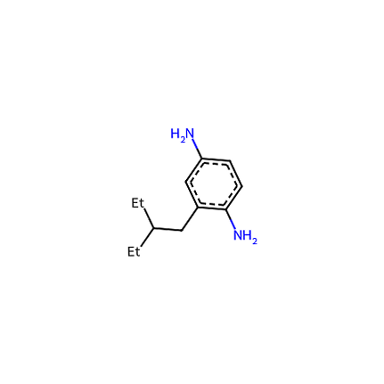 CCC(CC)Cc1cc(N)ccc1N